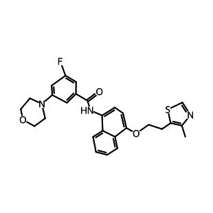 Cc1ncsc1CCOc1ccc(NC(=O)c2cc(F)cc(N3CCOCC3)c2)c2ccccc12